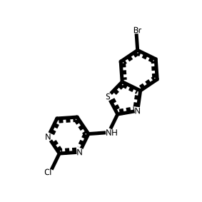 Clc1nccc(Nc2nc3ccc(Br)cc3s2)n1